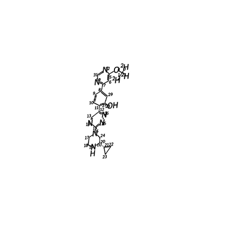 [2H]C([2H])([2H])Oc1cc(-c2ccc(-c3cnc(N4CCN[C@@H](C5CC5)C4)nn3)c(O)c2)ncn1